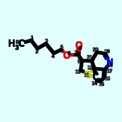 CCCCCCOC(=O)C1CSC23CC=CC=C2N=CCC13